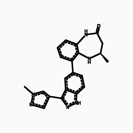 C[C@@H]1CC(=O)Nc2cccc(-c3ccc4[nH]nc(-c5cnn(C)c5)c4c3)c2N1